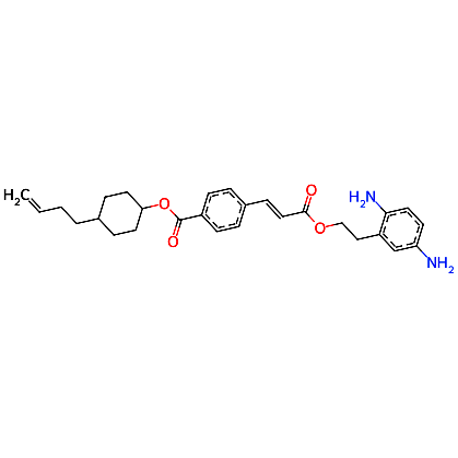 C=CCCC1CCC(OC(=O)c2ccc(/C=C/C(=O)OCCc3cc(N)ccc3N)cc2)CC1